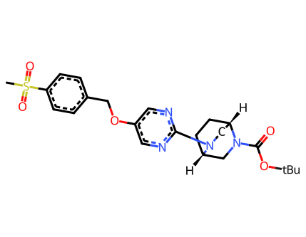 CC(C)(C)OC(=O)N1C[C@@H]2CC[C@H]1CN2c1ncc(OCc2ccc(S(C)(=O)=O)cc2)cn1